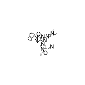 C=CC(=O)N1CCN(c2nc(N3CC(N(CC)CC)C3)nc3c(=O)n(-c4cccc5c4CCC5)ncc23)CC1CC#N